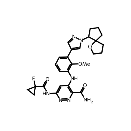 COc1c(Nc2cc(NC(=O)C3(F)CC3)nnc2C(N)=O)cccc1-c1cnn(C2CCCC23CCCO3)c1